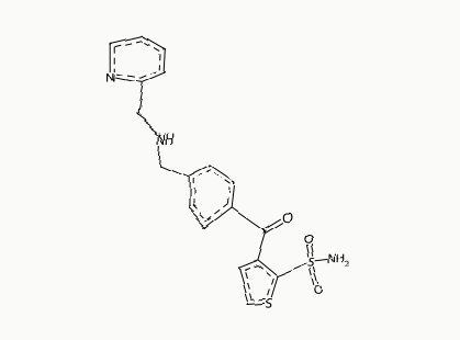 NS(=O)(=O)c1sccc1C(=O)c1ccc(CNCc2ccccn2)cc1